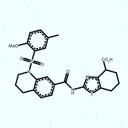 COc1ccc(C)cc1S(=O)(=O)N1CCCc2ccc(C(=O)Nc3nc4c(s3)CCCC4C(=O)O)cc21